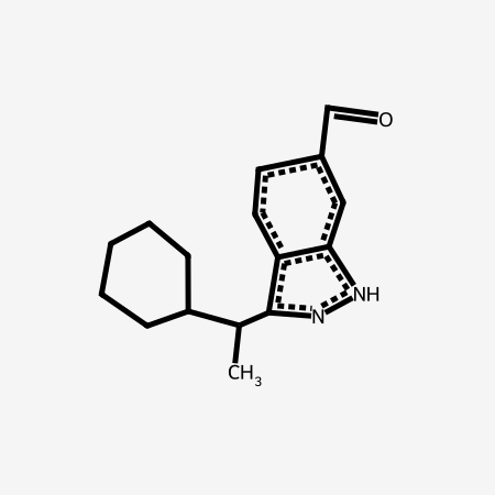 CC(c1n[nH]c2cc(C=O)ccc12)C1CCCCC1